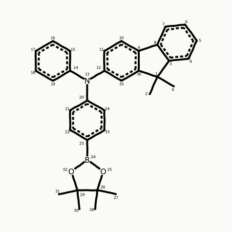 CC1(C)c2ccccc2-c2ccc(N(c3ccccc3)c3ccc(B4OC(C)(C)C(C)(C)O4)cc3)cc21